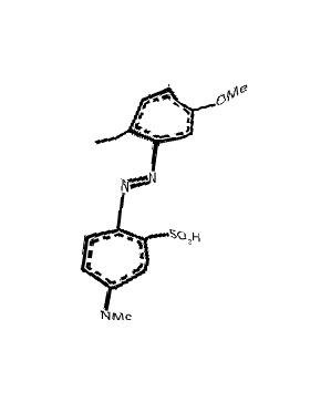 CNc1ccc(N=Nc2cc(OC)[c]cc2C)c(S(=O)(=O)O)c1